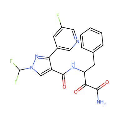 NC(=O)C(=O)C(Cc1ccccc1)NC(=O)c1cn(C(F)F)nc1-c1cncc(F)c1